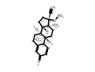 C#C[C@]1(O[N+](=O)[O-])CC[C@H]2[C@@H]3CCC4=CC(=O)C=C[C@]4(C)[C@H]3CC[C@@]21C